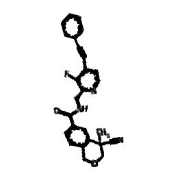 C[C@@]1(C#N)COCc2ccc(C(=O)NCc3nccc(C#Cc4ccccc4)c3F)cc21